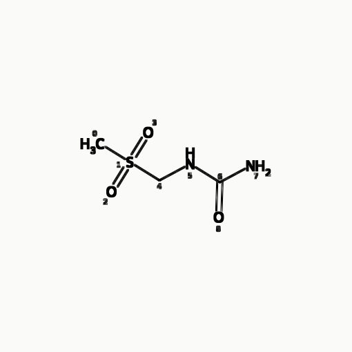 CS(=O)(=O)CNC(N)=O